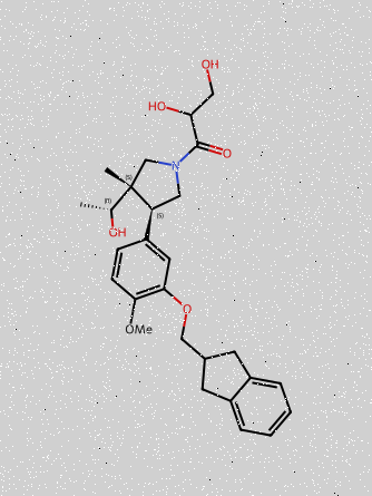 COc1ccc([C@@H]2CN(C(=O)C(O)CO)C[C@@]2(C)[C@@H](C)O)cc1OCC1Cc2ccccc2C1